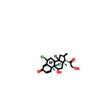 CC1C[C@H]2[C@@H]3CC(Cl)C4=CC(=O)C=C[C@]4(C)[C@@]3(Cl)C(O)C[C@]2(C)[C@H]1C(=O)CO